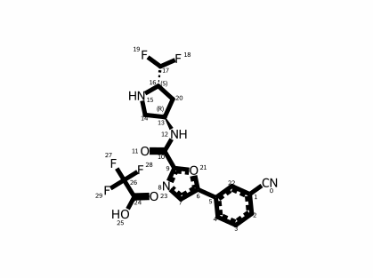 N#Cc1cccc(-c2cnc(C(=O)N[C@H]3CN[C@H](C(F)F)C3)o2)c1.O=C(O)C(F)(F)F